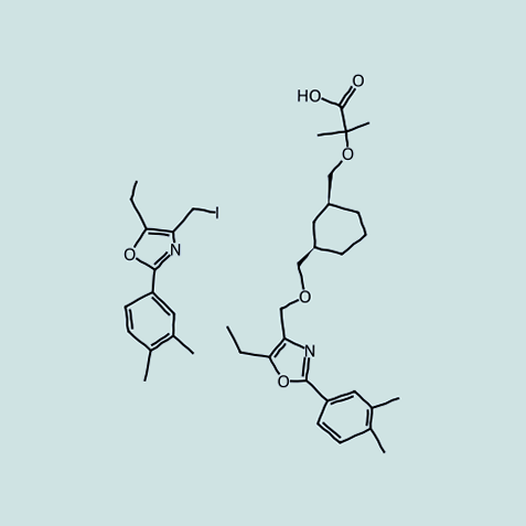 CCc1oc(-c2ccc(C)c(C)c2)nc1CI.CCc1oc(-c2ccc(C)c(C)c2)nc1COC[C@@H]1CCC[C@H](COC(C)(C)C(=O)O)C1